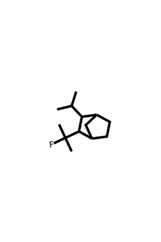 CC(C)C1C2CCC(C2)C1C(C)(C)F